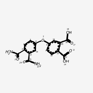 NC(=O)c1ccc(Oc2ccc(C(=O)O)c(C(=O)O)c2)cc1C(N)=O